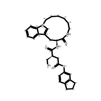 CC(C)C[C@H](CC(=O)Oc1ccc2c(c1)CCC2)C(=O)N[C@H]1Cc2cn(c3ccccc23)CCCCCCNC1=O